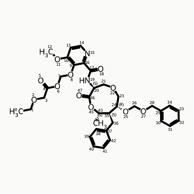 CCOCC(=O)OCOc1c(OC)ccnc1C(=O)N[C@H]1COC[C@H](OCOCc2ccccc2)[C@@H](Cc2ccccc2)[C@H](C)OC1=O